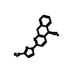 C=C1c2ccccc2Cc2nc(-n3ccc(C)n3)ccc21